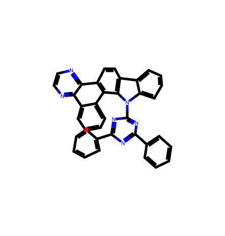 c1ccc(-c2nc(-c3ccccc3)nc(-n3c4ccccc4c4ccc5c6nccnc6c6ccccc6c5c43)n2)cc1